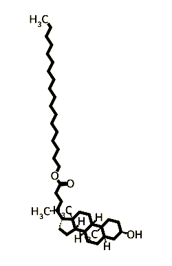 CCCCCCCCCCCCCCCCCCOC(=O)CC[C@@H](C)[C@H]1CC[C@H]2[C@@H]3CC[C@@H]4C[C@H](O)CC[C@]4(C)[C@H]3CC[C@]12C